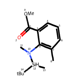 COC(=O)c1cccc(C)c1N(C)[SiH](C)C(C)(C)C